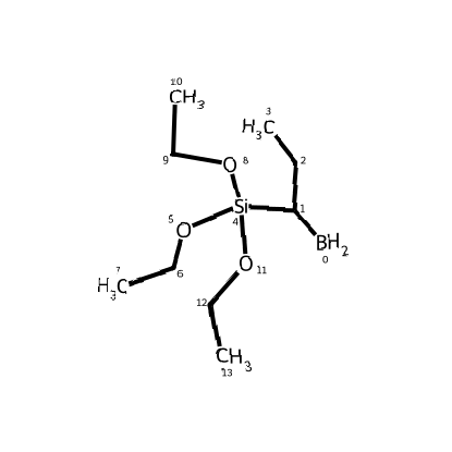 BC(CC)[Si](OCC)(OCC)OCC